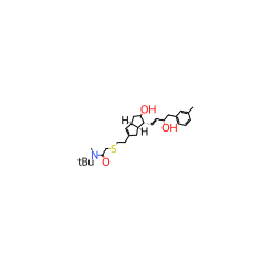 Cc1cccc(C[C@H](O)/C=C/[C@@H]2[C@H]3CC(CCSCC(=O)N(C)C(C)(C)C)=C[C@H]3C[C@H]2O)c1